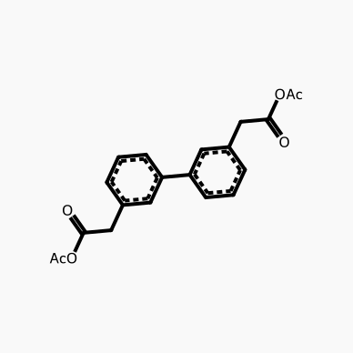 CC(=O)OC(=O)Cc1cccc(-c2cccc(CC(=O)OC(C)=O)c2)c1